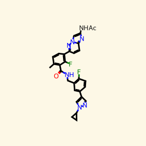 CC(=O)Nc1cn2nc(-c3ccc(C)c(C(=O)NCc4cc(-c5cnn(C6CC6)c5)ccc4F)c3F)ccc2n1